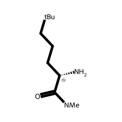 CNC(=O)[C@@H](N)CCCC(C)(C)C